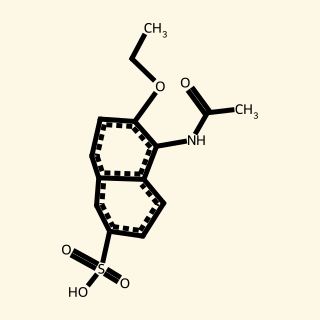 CCOc1ccc2cc(S(=O)(=O)O)ccc2c1NC(C)=O